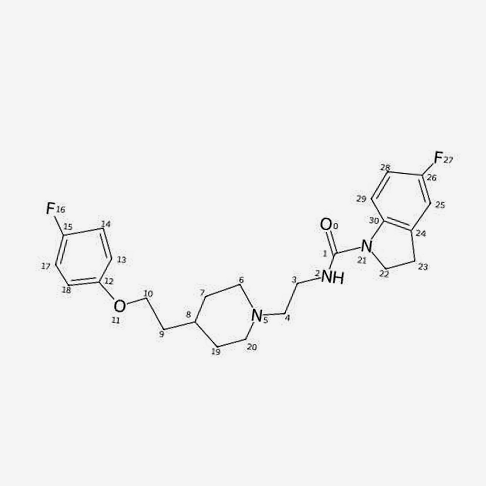 O=C(NCCN1CCC(CCOc2ccc(F)cc2)CC1)N1CCc2cc(F)ccc21